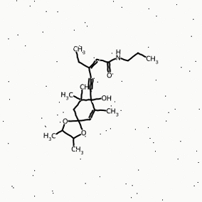 CCCNC(=O)/C=C(\C#CC1(O)C(C)=CC2(CC1(C)C)OC(C)C(C)O2)CC